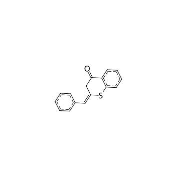 O=C1CC(=Cc2ccccc2)Sc2ccccc21